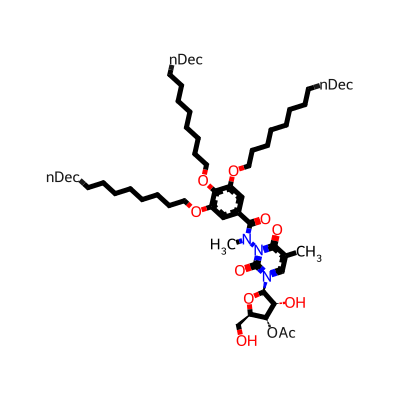 CCCCCCCCCCCCCCCCCCOc1cc(C(=O)N(C)n2c(=O)c(C)cn([C@@H]3O[C@H](CO)[C@@H](OC(C)=O)[C@H]3O)c2=O)cc(OCCCCCCCCCCCCCCCCCC)c1OCCCCCCCCCCCCCCCCCC